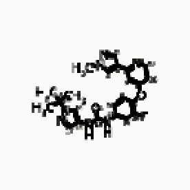 Cn1cc(-c2cc(Oc3ccc(NC(=O)Nc4cnn(C(C)(C)C)c4)cc3F)ccn2)cn1